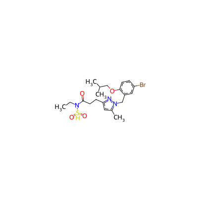 CCN(C(=O)CCc1cc(C)n(Cc2cc(Br)ccc2OCC(C)C)n1)[SH](=O)=O